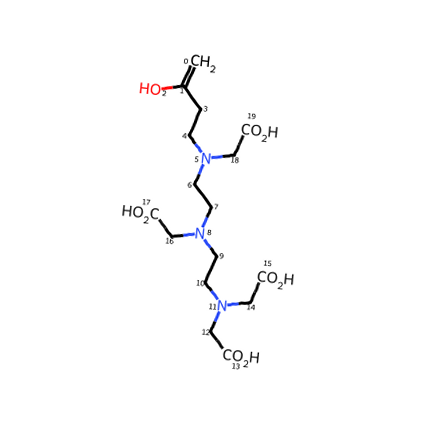 C=C(O)CCN(CCN(CCN(CC(=O)O)CC(=O)O)CC(=O)O)CC(=O)O